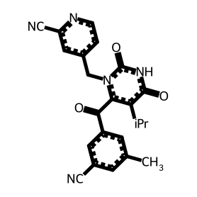 Cc1cc(C#N)cc(C(=O)c2c(C(C)C)c(=O)[nH]c(=O)n2Cc2ccnc(C#N)c2)c1